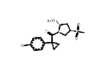 CS(=O)(=O)[C@@H]1C[C@@H](C(=O)O)N(C(=O)C2(c3ccc(Cl)cc3)CC2)C1